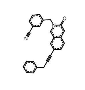 N#Cc1cccc(Cn2cc3cc(C#CCc4ccccc4)ccc3cc2=O)c1